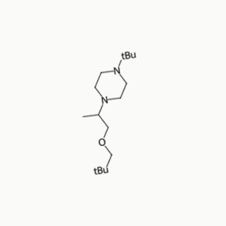 CC(COCC(C)(C)C)N1CCN(C(C)(C)C)CC1